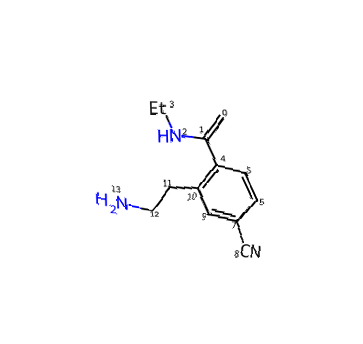 C=C(NCC)c1ccc(C#N)cc1CCN